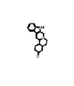 O=C1CCC2C(CCN3Cc4[nH]c5ccccc5c4CC23)C1